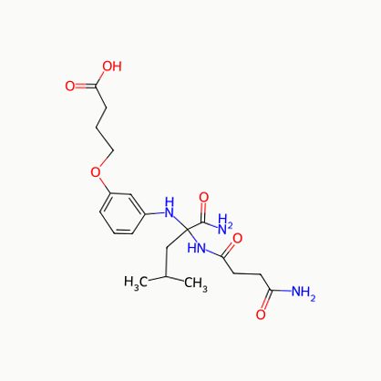 CC(C)CC(NC(=O)CCC(N)=O)(Nc1cccc(OCCCC(=O)O)c1)C(N)=O